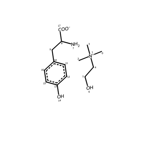 C[N+](C)(C)CCO.NC(Cc1ccc(O)cc1)C(=O)[O-]